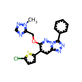 Cn1ncnc1COc1nn2c(-c3ccccc3)nnc2cc1-c1ccc(Cl)s1